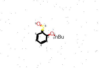 CCCCOC1C=CC=CC1=S=O